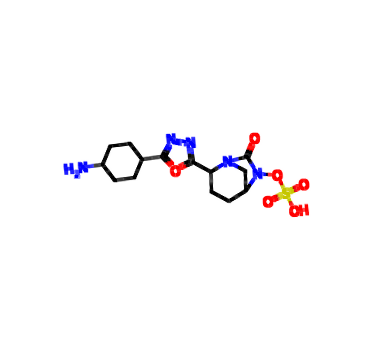 NC1CCC(c2nnc(C3CCC4CN3C(=O)N4OS(=O)(=O)O)o2)CC1